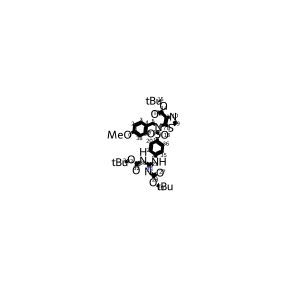 COc1ccc(CN(c2scnc2C(=O)OC(C)(C)C)S(=O)(=O)c2ccc(N/C(=N\C(=O)OC(C)(C)C)NC(=O)OC(C)(C)C)cc2)cc1